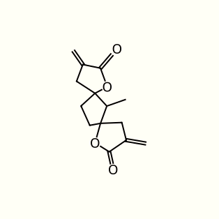 C=C1CC2(CCC3(CC(=C)C(=O)O3)C2C)OC1=O